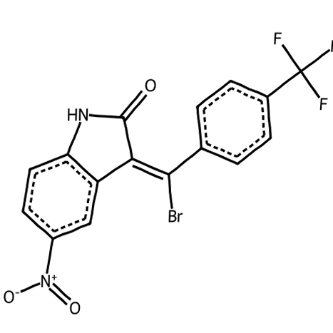 O=C1Nc2ccc([N+](=O)[O-])cc2/C1=C(\Br)c1ccc(C(F)(F)F)cc1